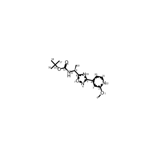 COc1cc(-c2noc([C@H](C)NC(=O)OC(C)(C)C)n2)ccn1